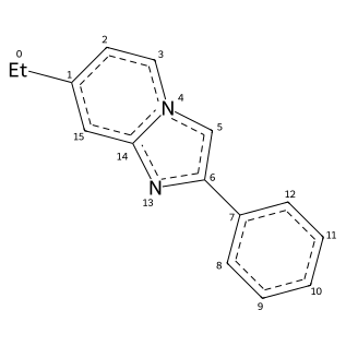 CCc1ccn2cc(-c3ccccc3)nc2c1